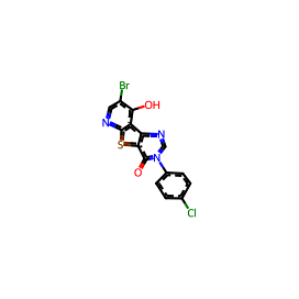 O=c1c2sc3ncc(Br)c(O)c3c2ncn1-c1ccc(Cl)cc1